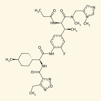 CCC(=O)N[C@@H](C(=O)N(C)Cc1cncn1C)[C@@H](C)c1ccc(NC(=O)[C@@H](NC(=O)c2nonc2CC)[C@H]2CC[C@H](C)CC2)c(F)c1